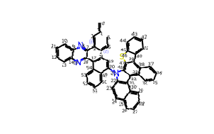 C=C/C=C(\C=C/C)c1nc2ccccc2nc1-c1ccc(-n2c3ccc4ccccc4c3c3c4ccccc4c4c5ccccc5sc4c32)c2ccccc12